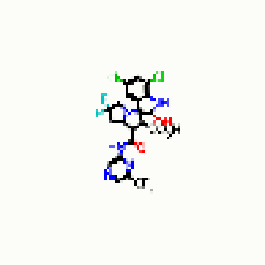 O=C(Nc1cncc(C(F)(F)F)n1)C1C2CC(F)(F)CN2C2(c3cc(Cl)cc(Cl)c3NC2O)C1C(=O)O